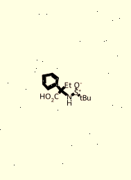 CCC(N[S+]([O-])C(C)(C)C)(C(=O)O)c1ccccc1